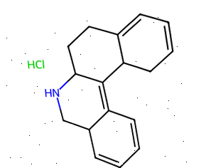 C1=CCC2C(=C1)CCC1NCC3C=CC=CC3=C12.Cl